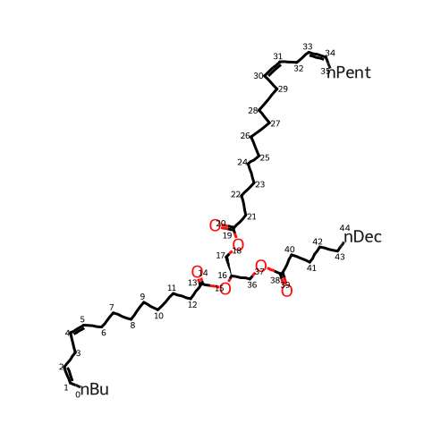 CCCC/C=C\C/C=C\CCCCCCCC(=O)O[C@@H](COC(=O)CCCCCCCCC/C=C\C/C=C\CCCCC)COC(=O)CCCCCCCCCCCCCC